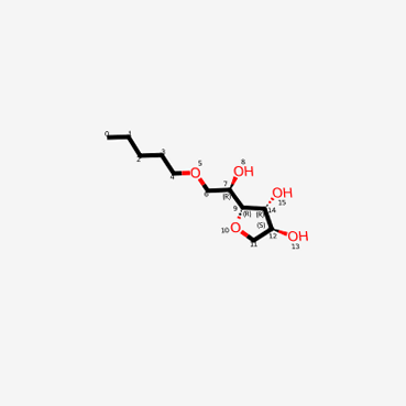 CCCCCOC[C@@H](O)[C@H]1OC[C@H](O)[C@H]1O